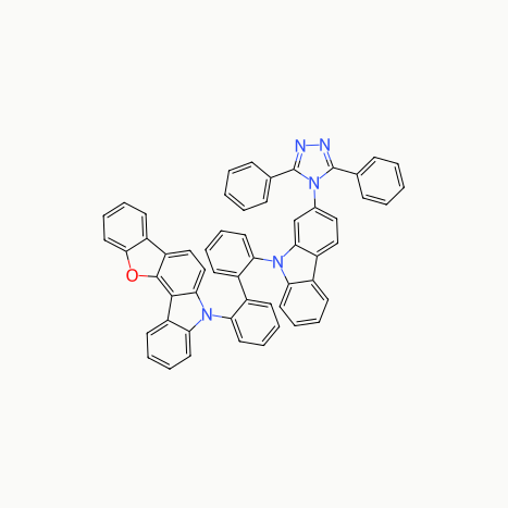 c1ccc(-c2nnc(-c3ccccc3)n2-c2ccc3c4ccccc4n(-c4ccccc4-c4ccccc4-n4c5ccccc5c5c6oc7ccccc7c6ccc54)c3c2)cc1